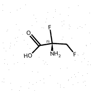 N[C@@](F)(CF)C(=O)O